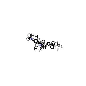 CCC(C)(C)C1CCC(N2N=C(C)/C(=N/Nc3ccc(/C=C(\C)C(=O)O)cc3O)C2=O)C1